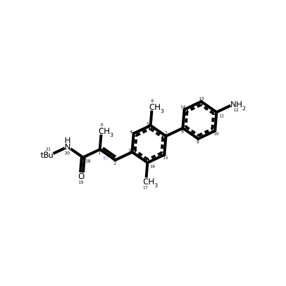 C/C(=C\c1cc(C)c(-c2ccc(N)cc2)cc1C)C(=O)NC(C)(C)C